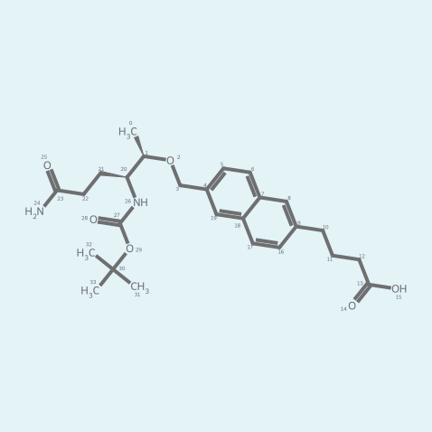 C[C@@H](OCc1ccc2cc(CCCC(=O)O)ccc2c1)[C@H](CCC(N)=O)NC(=O)OC(C)(C)C